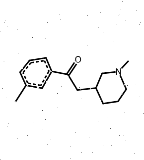 Cc1cccc(C(=O)CC2CCCN(C)C2)c1